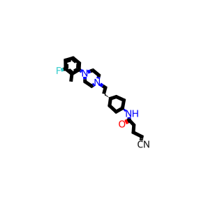 Cc1c(F)cccc1N1CCN(CC[C@H]2CC[C@H](NC(=O)CCCC#N)CC2)CC1